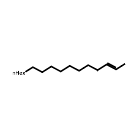 CC=C[CH]CCCCCCCCCCCCC